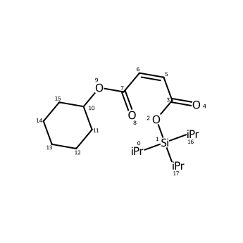 CC(C)[Si](OC(=O)/C=C\C(=O)OC1CCCCC1)(C(C)C)C(C)C